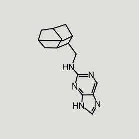 c1nc2cnc(NCC3C4CC5CC(C4)CC3C5)nc2[nH]1